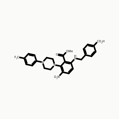 COC(=O)c1c(NCc2ccc(C(=O)O)cc2)ccc([N+](=O)[O-])c1N1CCN(c2ccc(C(F)(F)F)cc2)CC1